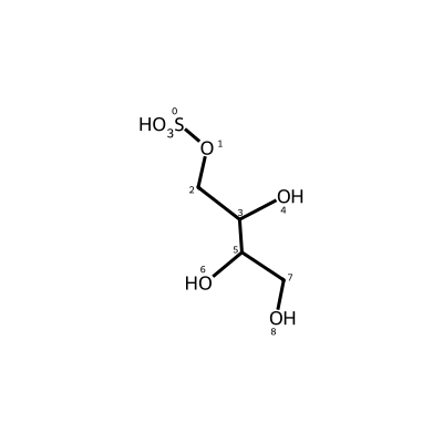 O=S(=O)(O)OCC(O)C(O)CO